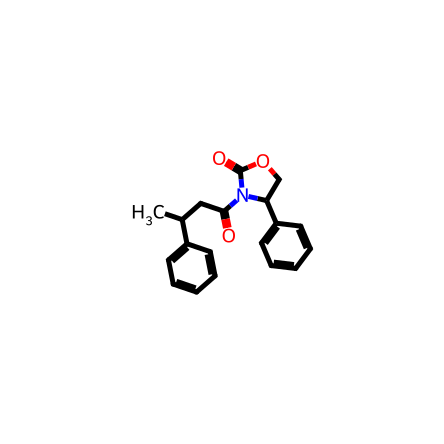 CC(CC(=O)N1C(=O)OCC1c1ccccc1)c1ccccc1